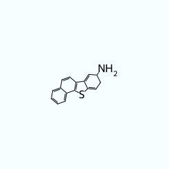 NC1C=c2c(sc3c2ccc2ccccc23)=CC1